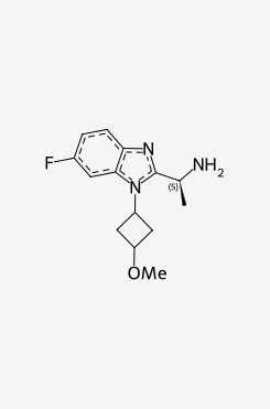 COC1CC(n2c([C@H](C)N)nc3ccc(F)cc32)C1